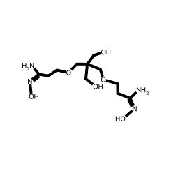 N/C(CCOCC(CO)(CO)COCC/C(N)=N\O)=N/O